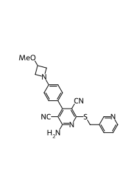 COC1CN(c2ccc(-c3c(C#N)c(N)nc(SCc4cccnc4)c3C#N)cc2)C1